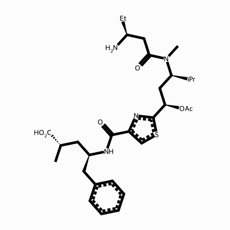 CC[C@H](N)CC(=O)N(C)[C@H](C[C@@H](OC(C)=O)c1nc(C(=O)N[C@@H](Cc2ccccc2)C[C@H](C)C(=O)O)cs1)C(C)C